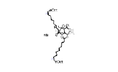 Br.CCCCCCCC/C=C\CCCCCCCC(=O)OC(C)C(OC(=O)CCCCCCC/C=C\CCCCCCCC)C(C(O)CC)C(C)(C)N